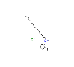 C=Cc1ccccc1C[N+](C)(C)CCCCCCCCCCCCCC.[Cl-]